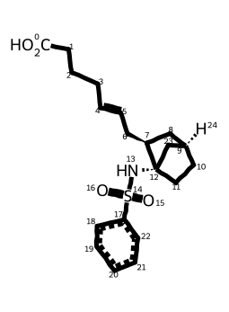 O=C(O)CCCC=CC[C@H]1C[C@H]2CC[C@]1(NS(=O)(=O)c1ccccc1)C2